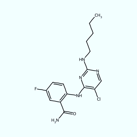 CCCCCNc1ncc(Cl)c(Nc2ccc(F)cc2C(N)=O)n1